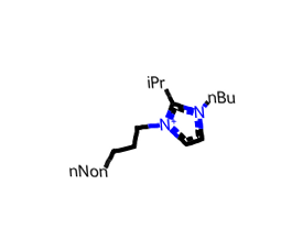 CCCCCCCCCCCC[n+]1ccn(CCCC)c1C(C)C